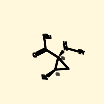 CC[C@@H]1C[C@]1(NC(C)C)C(=O)C(C)(C)C